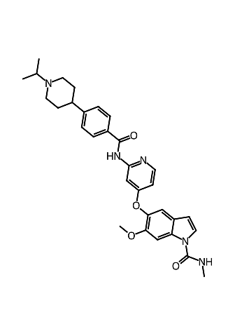 CNC(=O)n1ccc2cc(Oc3ccnc(NC(=O)c4ccc(C5CCN(C(C)C)CC5)cc4)c3)c(OC)cc21